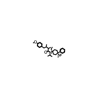 CC[C@]1(N(C(=O)C(C)C(C)Cc2ccc(OC)cc2)C(C)C)CC[C@@](c2ccccc2)(N(C)C)CC1